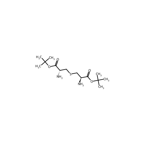 CC(C)(C)OC(=O)[C@@H](N)CSC[C@H](N)C(=O)OC(C)(C)C